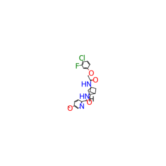 COc1ccc(C(=O)N[C@@H]2CC3(NC(=O)COc4ccc(Cl)c(F)c4)CC2C3)nc1